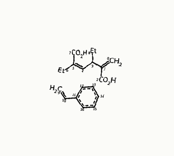 C=C(C(=O)O)C(C=C(CC)C(=O)O)CC.C=Cc1ccccc1